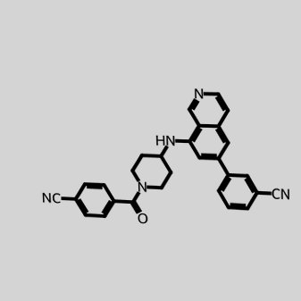 N#Cc1ccc(C(=O)N2CCC(Nc3cc(-c4cccc(C#N)c4)cc4ccncc34)CC2)cc1